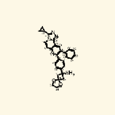 NC1(c2ccc(-c3nc4ccn5c(C6CC6)nnc5c4cc3-c3ccccc3)cc2)CC2(C1)OCCO2